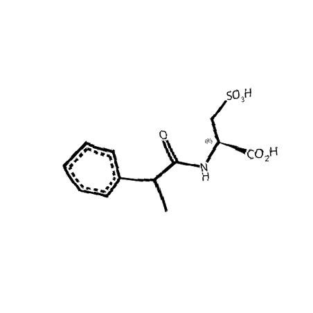 CC(C(=O)N[C@@H](CS(=O)(=O)O)C(=O)O)c1ccccc1